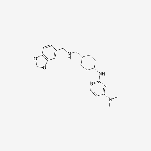 CN(C)c1ccnc(N[C@H]2CC[C@@H](CNCc3ccc4c(c3)OCO4)CC2)n1